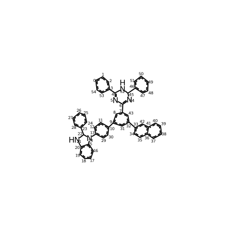 c1ccc(C2=NC(c3cc(-c4ccc(N5c6ccccc6NC5c5ccccc5)cc4)cc(-c4ccc5ccccc5c4)c3)=NC(c3ccccc3)N2)cc1